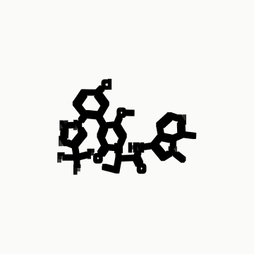 CCC(C(=O)Nc1cn(C)c2c(C)nccc12)n1cc(OC)c(-c2cc(Cl)ccc2-n2cc(C(F)(F)F)nn2)cc1=O